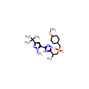 COC1CCC(CS(=O)(=O)CC(C)c2nnc(-c3cc(C(C)(C)C)nn3C)[nH]2)CC1